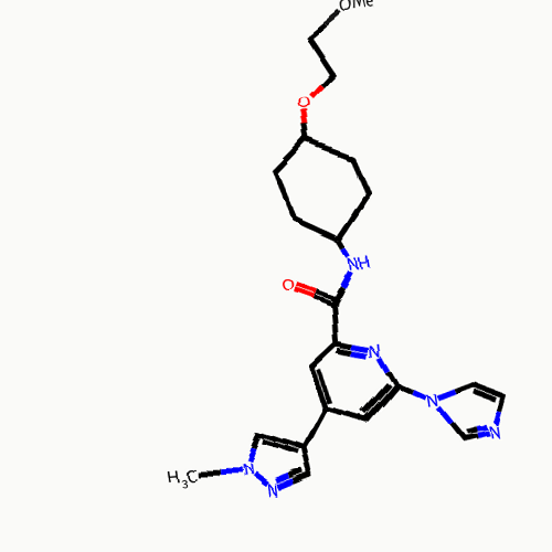 COCCOC1CCC(NC(=O)c2cc(-c3cnn(C)c3)cc(-n3ccnc3)n2)CC1